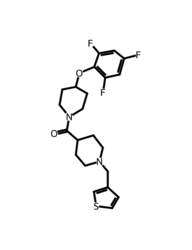 O=C(C1CCN(Cc2ccsc2)CC1)N1CCC(Oc2c(F)cc(F)cc2F)CC1